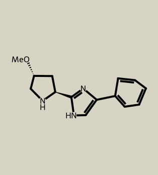 CO[C@H]1CN[C@H](c2nc(-c3ccccc3)c[nH]2)C1